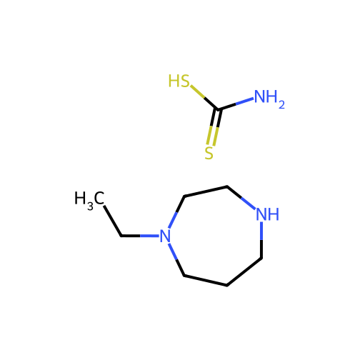 CCN1CCCNCC1.NC(=S)S